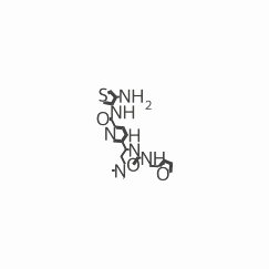 CN(C)CCC(NC(=O)NCc1ccco1)c1ccc(C(=O)Nc2cscc2N)nc1